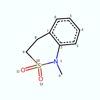 CN1c2ccc[c]c2CCS1(=O)=O